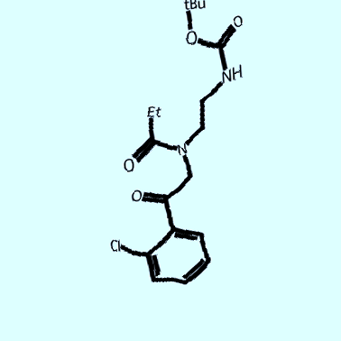 CCC(=O)N(CCNC(=O)OC(C)(C)C)CC(=O)c1ccccc1Cl